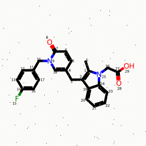 Cc1c(Cc2ccc(=O)n(Cc3ccc(F)cc3)c2)c2ccccc2n1CC(=O)O